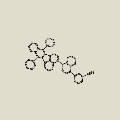 N#Cc1cccc(-c2ccc(-c3ccc4c5c(cccc35)-c3c-4c(-c4ccccc4)c4ccccc4c3-c3ccccc3)c3ccccc23)c1